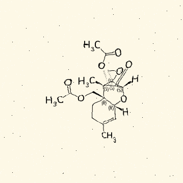 CC(=O)OC[C@]12CCC(C)=C[C@H]1O[C@@H]1C(=O)[C@@H](OC(C)=O)[C@@]2(C)[C@]12CO2